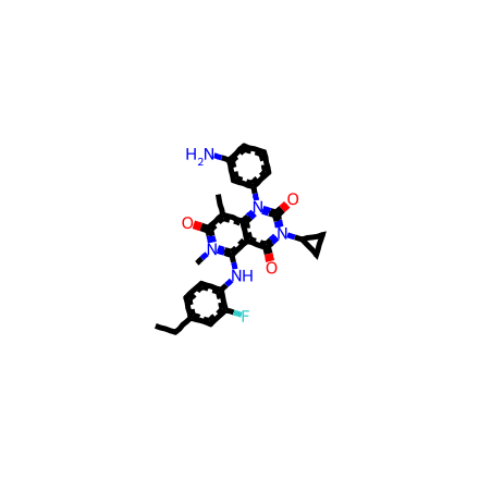 CCc1ccc(Nc2c3c(=O)n(C4CC4)c(=O)n(-c4cccc(N)c4)c3c(C)c(=O)n2C)c(F)c1